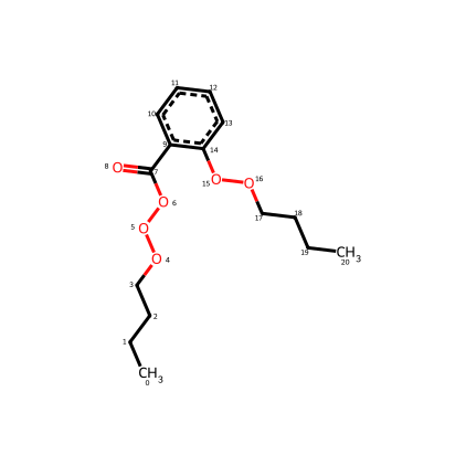 CCCCOOOC(=O)c1ccccc1OOCCCC